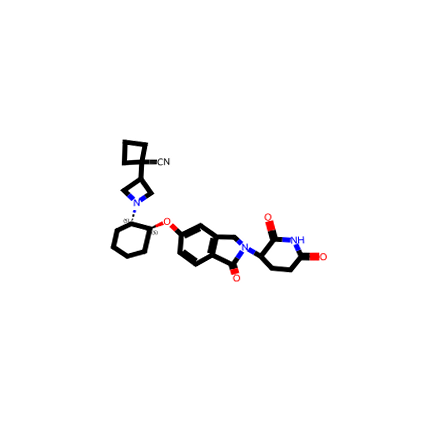 N#CC1(C2CN([C@H]3CCCC[C@@H]3Oc3ccc4c(c3)CN(C3CCC(=O)NC3=O)C4=O)C2)CCC1